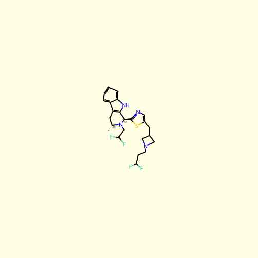 C[C@@H]1Cc2c([nH]c3ccccc23)[C@@H](c2ncc(CC3CN(CCC(F)F)C3)s2)N1CC(F)F